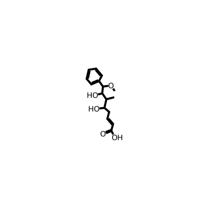 COC(c1ccccc1)C(O)C(C)C(O)C/C=C/C(=O)O